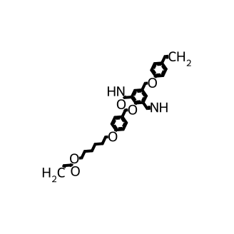 C=CC(=O)OCCCCCCOc1ccc(C(=O)Oc2c(C=N)cc(COc3ccc(C=C)cc3)cc2C=N)cc1